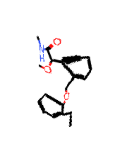 CCc1ccccc1OCc1ccccc1C(OC)C(=O)NC